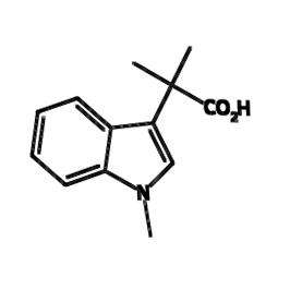 Cn1cc(C(C)(C)C(=O)O)c2ccccc21